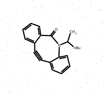 CCCCC(C)N1C(=O)c2ccccc2C#Cc2ccccc21